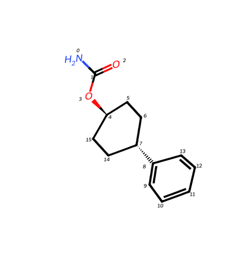 NC(=O)O[C@H]1CC[C@H](c2ccccc2)CC1